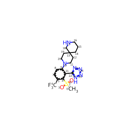 CS(=O)(=O)c1c(C(F)(F)F)ccc(N2CCC3(CCCNC3)CC2)c1-c1nnn[nH]1